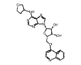 O[C@@H]1[C@H](O)[C@H](n2cnc3c(NC4CCOC4)ncnc32)O[C@@H]1COc1ccnc2ccccc12